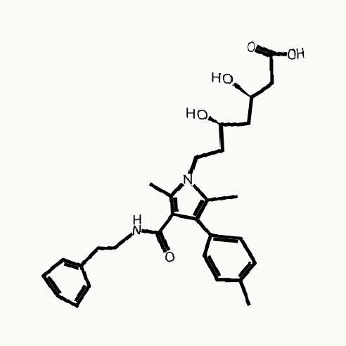 Cc1ccc(-c2c(C(=O)NCCc3ccccc3)c(C)n(CC[C@@H](O)C[C@@H](O)CC(=O)O)c2C)cc1